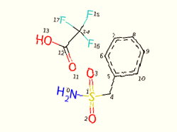 NS(=O)(=O)Cc1ccccc1.O=C(O)C(F)(F)F